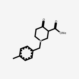 COC(=O)C1CN(Cc2ccc(C)cc2)CCC1=O